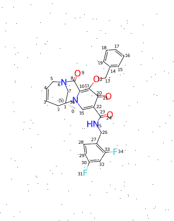 C[C@]12CC=CCN(C1)C(=O)c1c(OCc3ccccc3)c(=O)c(C(=O)NCc3ccc(F)cc3F)cn12